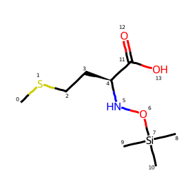 CSCC[C@H](NO[Si](C)(C)C)C(=O)O